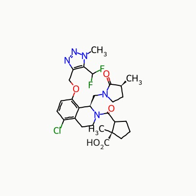 C[C@H]1CCN(C[C@@H]2c3c(OCc4nnn(C)c4C(F)F)ccc(Cl)c3CCN2C(=O)C2CCC[C@@]2(C)C(=O)O)C1=O